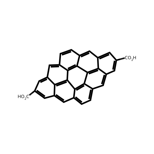 O=C(O)c1cc2cc3ccc4cc5cc(C(=O)O)cc6cc7ccc8cc(c1)c2c1c3c4c(c56)c7c81